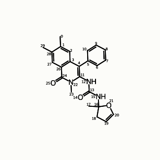 Cc1cc2c(-c3ccccc3)c(NC(=O)NC3(C)CC=CO3)n(C)c(=O)c2cc1C